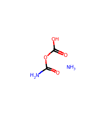 N.NC(=O)OC(=O)O